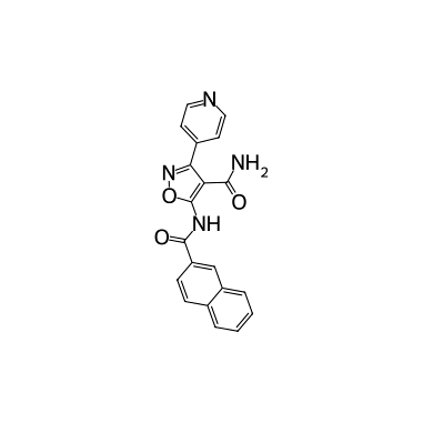 NC(=O)c1c(-c2ccncc2)noc1NC(=O)c1ccc2ccccc2c1